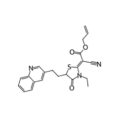 C=CCOC(=O)/C(C#N)=C1\SC(CCc2cnc3ccccc3c2)C(=O)N1CC